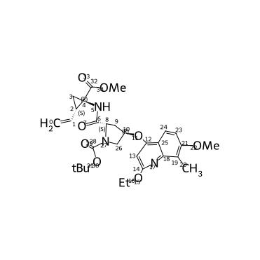 C=C[C@@H]1C[C@]1(NC(=O)[C@@H]1C[C@@H](Oc2cc(OCC)nc3c(C)c(OC)ccc23)CN1C(=O)OC(C)(C)C)C(=O)OC